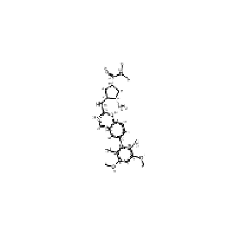 COc1cc(OC)c(Cl)c(-c2ccc3nc(NC4C[C@H](C(=O)N(C)C)C[C@@H]4N)ncc3c2)c1Cl